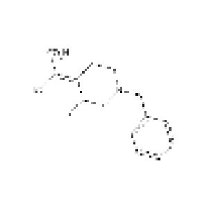 CC/C(C(=O)O)=C1/CCN(Cc2ccccc2)CC1C